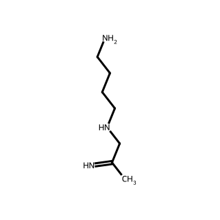 CC(=N)CNCCCCN